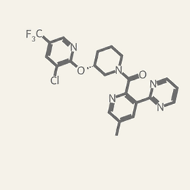 Cc1cnc(C(=O)N2CCC[C@@H](Oc3ncc(C(F)(F)F)cc3Cl)C2)c(-c2ncccn2)c1